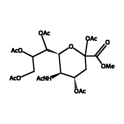 COC(=O)C1(OC(C)=O)C[C@H](OC(C)=O)[C@@H](NC(C)=O)[C@H](C(OC(C)=O)C(COC(C)=O)OC(C)=O)O1